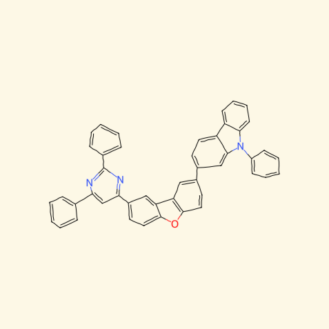 c1ccc(-c2cc(-c3ccc4oc5ccc(-c6ccc7c8ccccc8n(-c8ccccc8)c7c6)cc5c4c3)nc(-c3ccccc3)n2)cc1